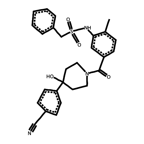 Cc1ccc(C(=O)N2CCC(O)(c3ccc(C#N)cc3)CC2)cc1NS(=O)(=O)Cc1ccccc1